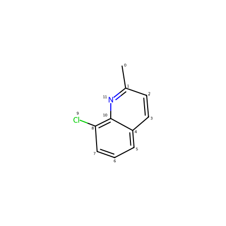 Cc1[c]cc2cccc(Cl)c2n1